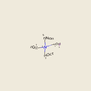 CCCCCCCCC[N+](CCCCCCCC)(CCCCCCCC)CCCCCCCC.[I-]